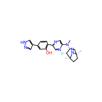 CN(c1cnc(-c2ccc(-c3cn[nH]c3)cc2O)cn1)[C@@H]1C[C@@]2(C)CC[C@](C)(N2)[C@@H]1F